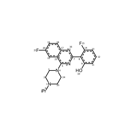 CC(C)N1CCN(c2nc(-c3c(O)cccc3F)nc3ccc(F)cc23)CC1